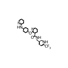 O=C(NCC1=CC=C(C(F)(F)F)NC1)c1cccnc1Oc1ccc(Nc2ccccn2)cc1